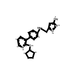 Oc1cc(CNc2ccc(-c3cccnc3OC3CCCC3)cc2)on1